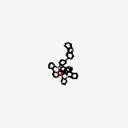 c1ccc(N(c2ccc(-c3ccc4oc5ccccc5c4c3)cc2)c2ccc(-c3ccccc3-n3c4ccccc4c4ccccc43)cc2)c(-c2cccc3oc4c5ccccc5ccc4c23)c1